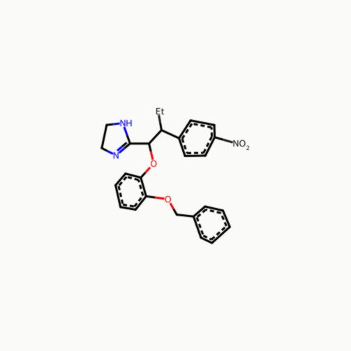 CCC(c1ccc([N+](=O)[O-])cc1)C(Oc1ccccc1OCc1ccccc1)C1=NCCN1